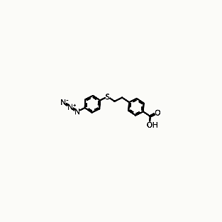 [N-]=[N+]=Nc1ccc(SCCc2ccc(C(=O)O)cc2)cc1